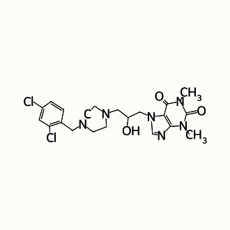 Cn1c(=O)c2c(ncn2CC(O)CN2CCN(Cc3ccc(Cl)cc3Cl)CC2)n(C)c1=O